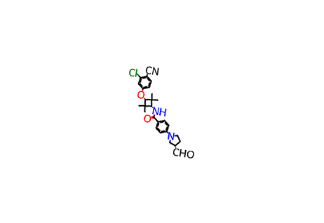 CC1(C)[C@H](NC(=O)c2ccc(N3CC[C@H](C=O)C3)cc2)C(C)(C)[C@H]1Oc1ccc(C#N)c(Cl)c1